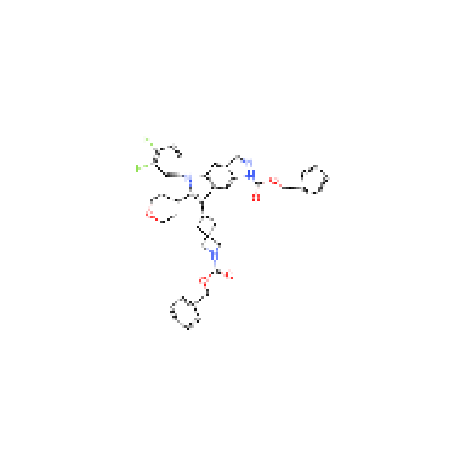 O=C(OCc1ccccc1)N1CC2(CC(c3c(C4CCOCC4)n(-c4ccc(F)c(F)c4)c4cc5cnn(C(=O)OCc6ccccc6)c5cc34)C2)C1